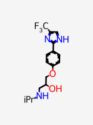 CC(C)NCC(O)COc1ccc(-c2nc(C(F)(F)F)c[nH]2)cc1